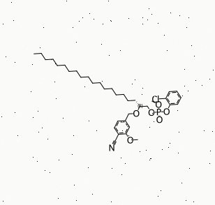 CCCCCCCCCCCCCCCCCC[C@H](COP(=O)(OC)Oc1ccccc1Cl)OCc1ccc(C#N)c(OC)c1